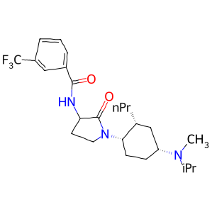 CCC[C@@H]1C[C@H](N(C)C(C)C)CC[C@@H]1N1CCC(NC(=O)c2cccc(C(F)(F)F)c2)C1=O